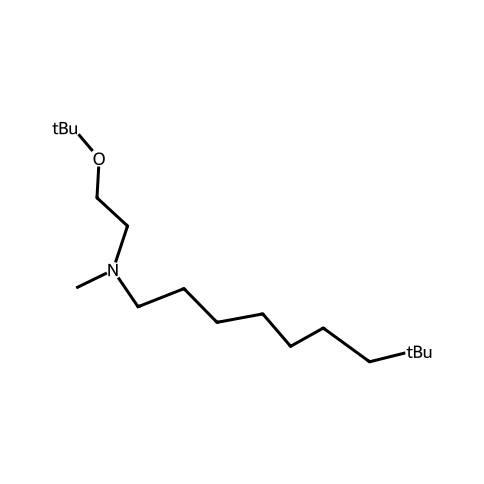 CN(CCCCCCCC(C)(C)C)CCOC(C)(C)C